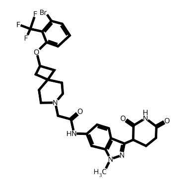 Cn1nc(C2CCC(=O)NC2=O)c2ccc(NC(=O)CN3CCC4(CC3)CC(Oc3cccc(Br)c3C(F)(F)F)C4)cc21